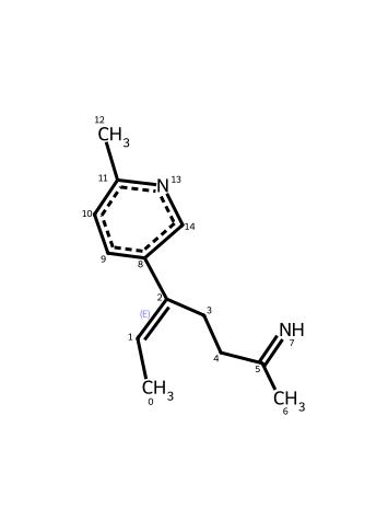 C/C=C(\CCC(C)=N)c1ccc(C)nc1